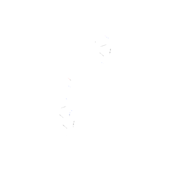 CN(c1ccc([N+](=O)[O-])c(C(F)(F)F)c1)C1CCC(OCC(=O)N2CCN(c3ccc4cc(C(F)(F)F)ccc4n3)CC2)CC1